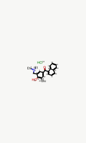 CCN(CC)Cc1cc(C(=O)c2cccc3ccccc23)cc(C(C)(C)C)c1O.Cl